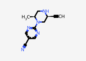 C#C[C@H]1CN(c2ncc(C#N)cn2)[C@@H](C)CN1